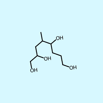 CC(CC(O)CO)C(O)CCCO